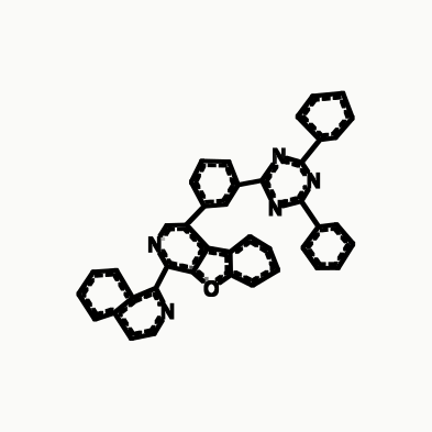 c1ccc(-c2nc(-c3ccccc3)nc(-c3cccc(-c4cnc(-c5nccc6ccccc56)c5oc6ccccc6c45)c3)n2)cc1